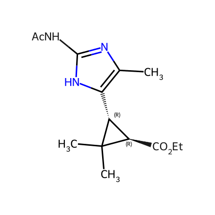 CCOC(=O)[C@@H]1[C@@H](c2[nH]c(NC(C)=O)nc2C)C1(C)C